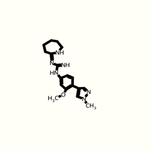 COc1cc(NC(=N)/N=C2/CCCCCN2)ccc1-c1cnn(C)c1